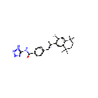 CCc1cc2c(cc1/C(C)=C/c1ccc(C(=O)Nc3nnn[nH]3)cc1)C(C)(C)CCC2(C)C